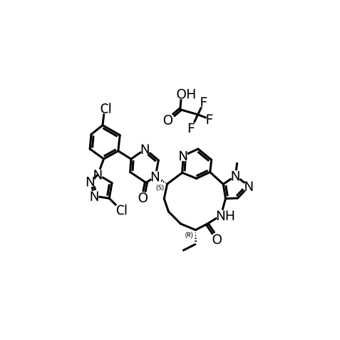 CC[C@@H]1CCC[C@H](n2cnc(-c3cc(Cl)ccc3-n3cc(Cl)nn3)cc2=O)c2cc(ccn2)-c2c(cnn2C)NC1=O.O=C(O)C(F)(F)F